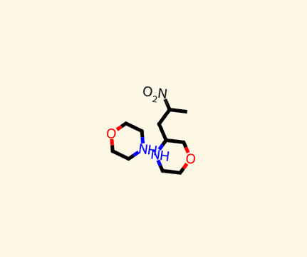 C1COCCN1.CC(CC1COCCN1)[N+](=O)[O-]